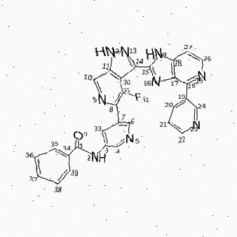 O=C(Nc1cncc(-c2ncc3[nH]nc(-c4nc5c(-c6cccnc6)nccc5[nH]4)c3c2F)c1)c1ccccc1